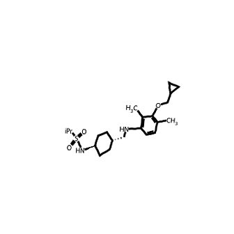 Cc1ccc(NC[C@H]2CC[C@H](NS(=O)(=O)C(C)C)CC2)c(C)c1OCC1CC1